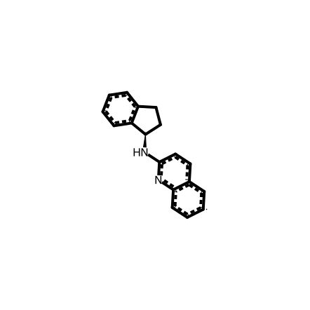 [c]1ccc2nc(N[C@@H]3CCc4ccccc43)ccc2c1